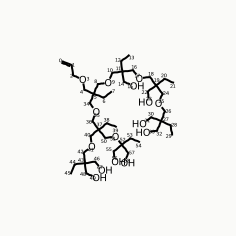 C=CCOCC(CC)(COCC(CC)(CO)COCC(CC)(CO)COCC(CC)(CO)CO)COCC(CC)(COCC(CC)(CO)CO)COC(CC)(CO)CO